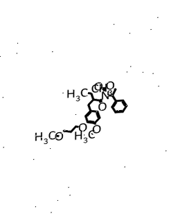 COCCCOc1cc(CC(C(=O)N2C(=O)OCC2c2ccccc2)C(C)C)ccc1OC